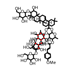 COc1ccc(C=CC(=O)OC2C(C)OC(OC(=O)C34CCC(C)(C)CC3C3=CCC5C6(C)CC(O)C(OC7OC(CO)C(O)C(O)C7O)C(C)(C(=O)O)C6CCC5(C)C3(CO)CC4)C(OC3OC(C)C(OC4OCC(OC5OC(CO)C(O)C(O)C5O)C(O)C4O)C(OC4OCC(O)(CO)C4O)C3O)C2OC2OC(C)C(O)C(O)C2O)cc1